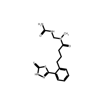 CN(CNC(N)=O)C(=O)CCCc1ccccc1-c1n[nH]c(=S)s1